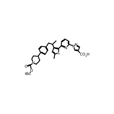 Cc1cc(C(C)Cc2ccc(C3CCN(C(=O)OC(C)(C)C)CC3)cc2)c(-c2cccc(-n3cc(C(=O)O)cn3)n2)s1